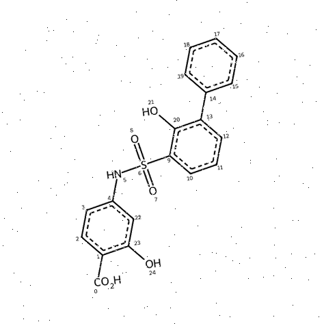 O=C(O)c1ccc(NS(=O)(=O)c2cccc(-c3ccccc3)c2O)cc1O